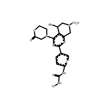 CCNC(=O)Nc1ccc(-c2nc3c(c(N4CCOC(=O)C4)n2)C(C(C)(C)C)CN(C(=O)O)C3)cc1